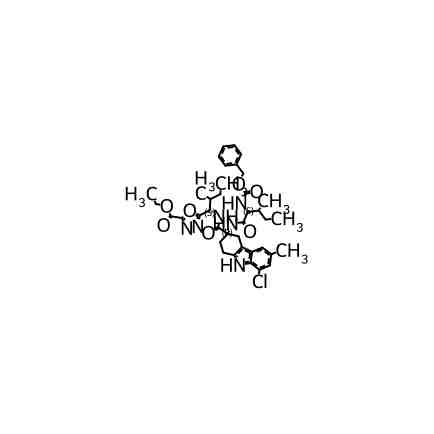 CCOC(=O)c1nnc([C@@H](NC(=O)[C@@]2(NC(=O)[C@@H](NC(=O)OCc3ccccc3)C(C)CC)CCc3[nH]c4c(Cl)cc(C)cc4c3C2)C(C)CC)o1